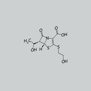 CC(O)[C@H]1C(=O)N2C(C(=O)O)=C(SCCO)S[C@H]12